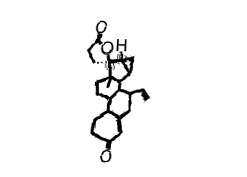 C=CC1CC2=CC(=O)CCC2C2CCC3(C)C(C12)C1C[C@H]1[C@@]31CCC(=O)O1